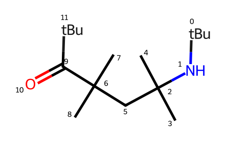 CC(C)(C)NC(C)(C)CC(C)(C)C(=O)C(C)(C)C